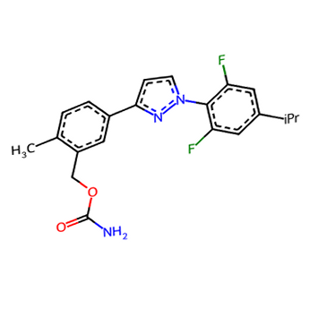 Cc1ccc(-c2ccn(-c3c(F)cc(C(C)C)cc3F)n2)cc1COC(N)=O